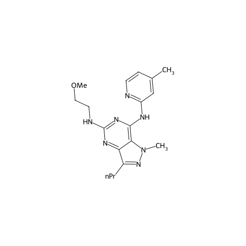 CCCc1nn(C)c2c(Nc3cc(C)ccn3)nc(NCCOC)nc12